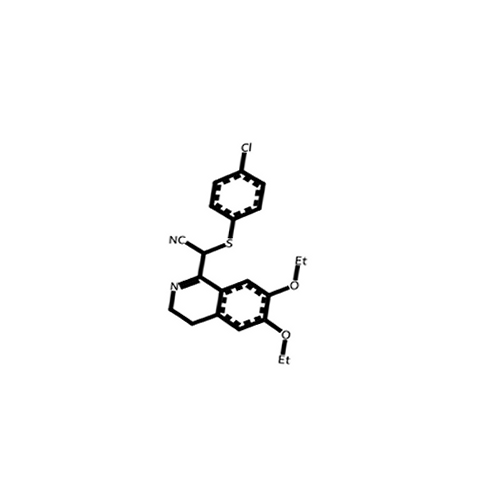 CCOc1cc2c(cc1OCC)C(C(C#N)Sc1ccc(Cl)cc1)=NCC2